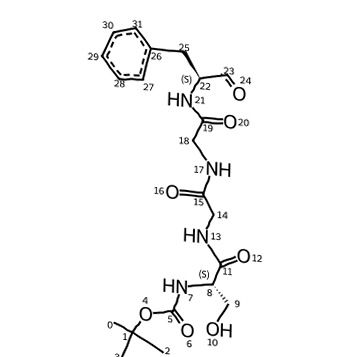 CC(C)(C)OC(=O)N[C@@H](CO)C(=O)NCC(=O)NCC(=O)N[C@H]([C]=O)Cc1ccccc1